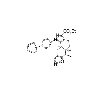 CCOC(=O)c1nn(-c2ccc(-c3ccccc3)cc2)c2c1CC[C@@H]1[C@@H](C)c3oncc3C[C@@]21C